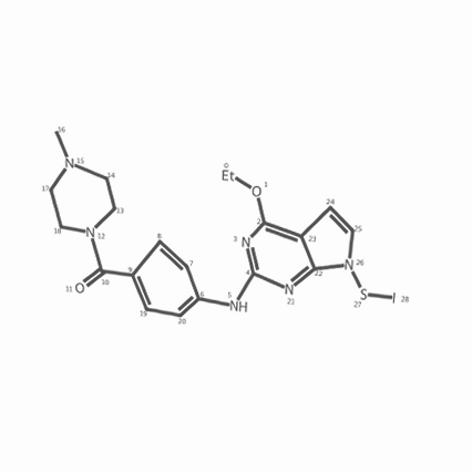 CCOc1nc(Nc2ccc(C(=O)N3CCN(C)CC3)cc2)nc2c1ccn2SI